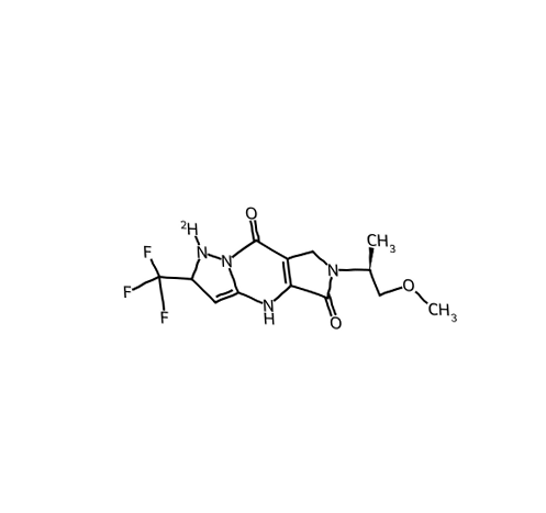 [2H]N1C(C(F)(F)F)C=C2NC3=C(CN([C@@H](C)COC)C3=O)C(=O)N21